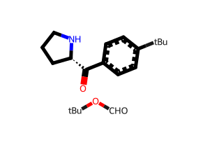 CC(C)(C)OC=O.CC(C)(C)c1ccc(C(=O)[C@@H]2CCCN2)cc1